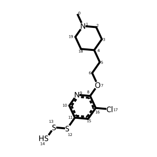 CN1CCC(CCOc2ncc(SSS)cc2Cl)CC1